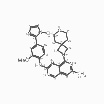 COc1cc(-c2nccn2C)ccc1Nc1ncc2cc(C)nc(N3CC4(CCOCC4)C3)c2n1